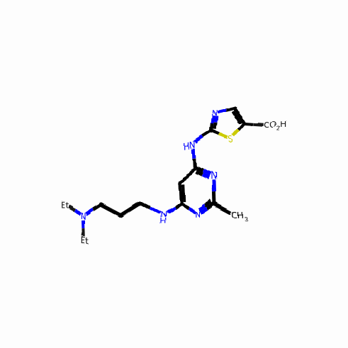 CCN(CC)CCCNc1cc(Nc2ncc(C(=O)O)s2)nc(C)n1